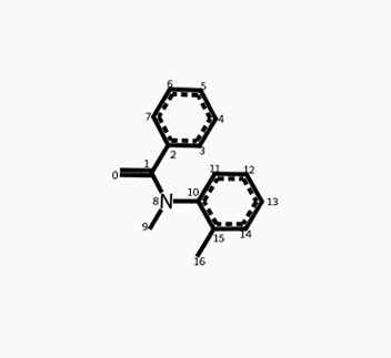 C=C(c1ccccc1)N(C)c1ccccc1C